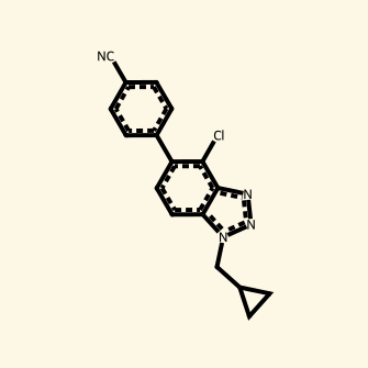 N#Cc1ccc(-c2ccc3c(nnn3CC3CC3)c2Cl)cc1